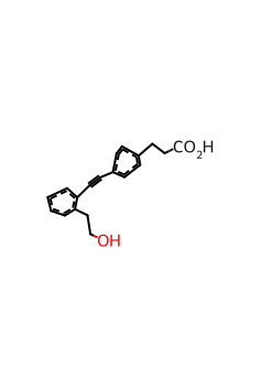 O=C(O)CCc1ccc(C#Cc2ccccc2CCO)cc1